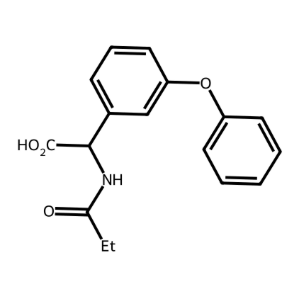 CCC(=O)NC(C(=O)O)c1cccc(Oc2ccccc2)c1